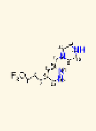 FC(F)(F)CCCC1C=C(CN2CCNCC2)N=NC1